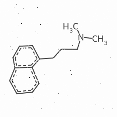 CN(C)C[CH]Cc1cccc2ccccc12